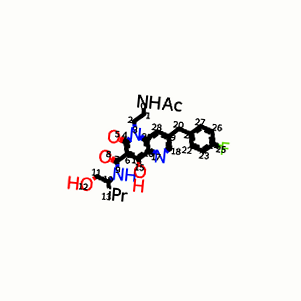 CC(=O)NCCn1c(=O)c(C(=O)NC(CO)C(C)C)c(O)c2ncc(Cc3ccc(F)cc3)cc21